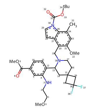 COCCNc1cc(C(=O)OC)ccc1C1CC2(CCN1Cc1c(OC)cc(C)c3c1ccn3C(=O)OC(C)(C)C)CC(F)(F)C2